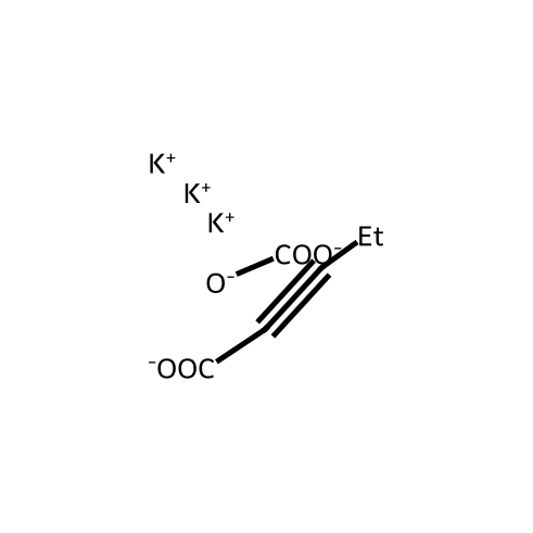 CCC#CC(=O)[O-].O=C([O-])[O-].[K+].[K+].[K+]